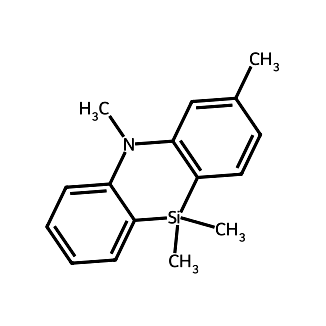 Cc1ccc2c(c1)N(C)c1ccccc1[Si]2(C)C